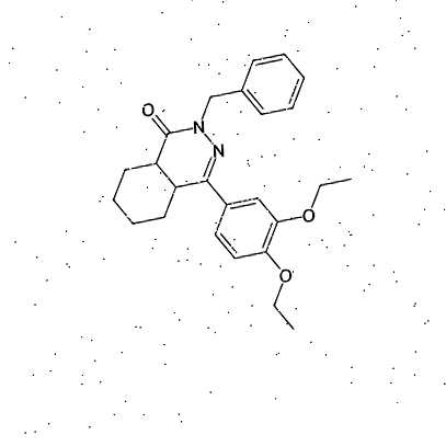 CCOc1ccc(C2=NN(Cc3ccccc3)C(=O)C3CCCCC23)cc1OCC